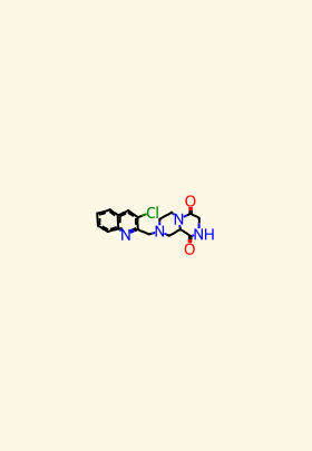 O=C1NCC(=O)N2CCN(Cc3nc4ccccc4cc3Cl)CC12